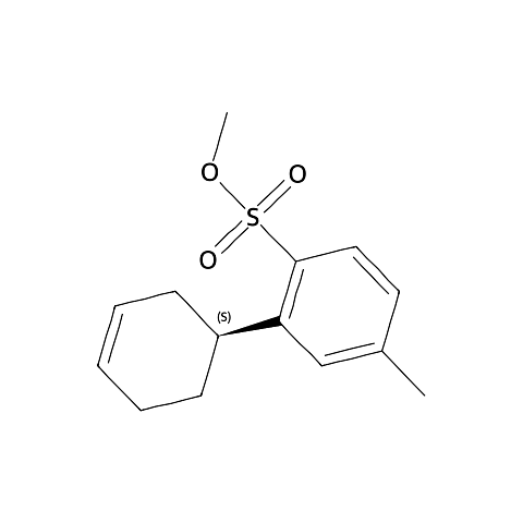 COS(=O)(=O)c1ccc(C)cc1[C@@H]1CC=CCC1